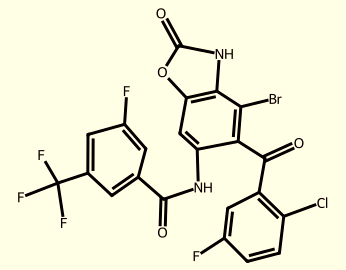 O=C(Nc1cc2oc(=O)[nH]c2c(Br)c1C(=O)c1cc(F)ccc1Cl)c1cc(F)cc(C(F)(F)F)c1